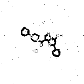 Cl.O=C(c1cnn2c(O)cc(-c3ccccc3)nc12)N1CCN(c2ccccc2)CC1